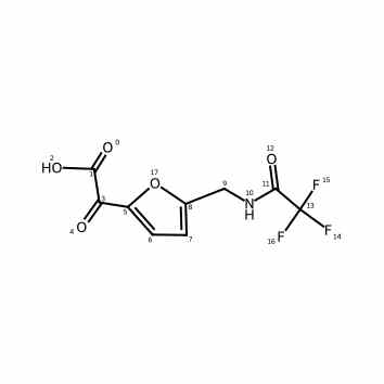 O=C(O)C(=O)c1ccc(CNC(=O)C(F)(F)F)o1